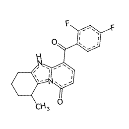 CC1CCCc2[nH]c3c(C(=O)c4ccc(F)cc4F)ccc(=O)n3c21